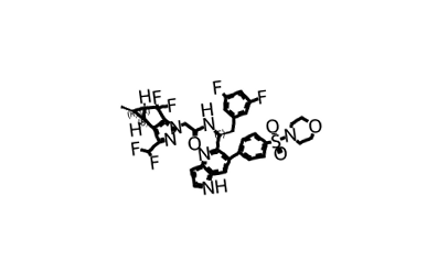 C[C@@H]1[C@@H]2c3c(C(F)F)nn(CC(=O)N[C@@H](Cc4cc(F)cc(F)c4)c4nc5cc[nH]c5cc4-c4ccc(S(=O)(=O)N5CCOCC5)cc4)c3C(F)(F)[C@H]12